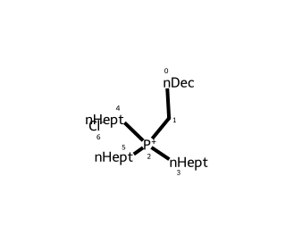 CCCCCCCCCCC[P+](CCCCCCC)(CCCCCCC)CCCCCCC.[Cl-]